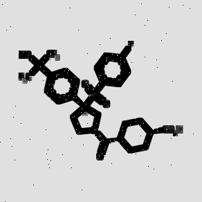 O=C(O)[C@H]1CC[C@H](C(=O)N2CC[C@](c3ccc(C(O)(C(F)(F)F)C(F)(F)F)cc3)(S(=O)(=O)c3ccc(F)cc3)C2)CC1